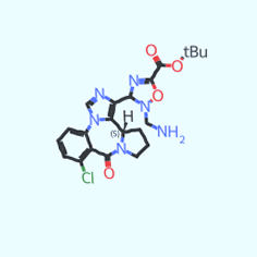 CC(C)(C)OC(=O)C1=NC(c2ncn3c2[C@@H]2CCCN2C(=O)c2c(Cl)cccc2-3)N(CN)O1